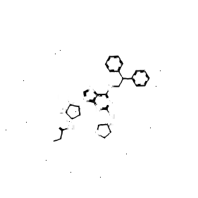 CCC(=O)N[C@H]1C[C@@H](n2cnc3c(NCC(c4ccccc4)c4ccccc4)nc(N[C@@H]4CCNC4)nc32)[C@H](O)[C@@H]1O